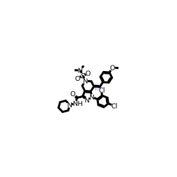 COc1ccc(/C=C2\CN(S(=O)(=O)N(C)C)Cc3c(C(=O)NN4CCCCC4)nn(-c4ccc(Cl)cc4Cl)c32)cc1